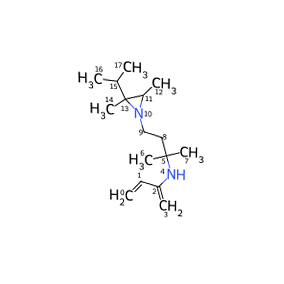 C=CC(=C)NC(C)(C)CCN1C(C)C1(C)C(C)C